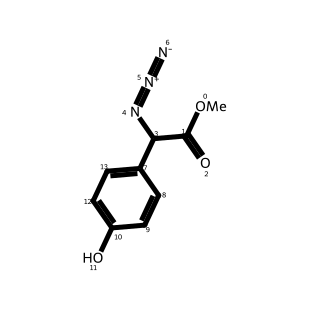 COC(=O)C(N=[N+]=[N-])c1ccc(O)cc1